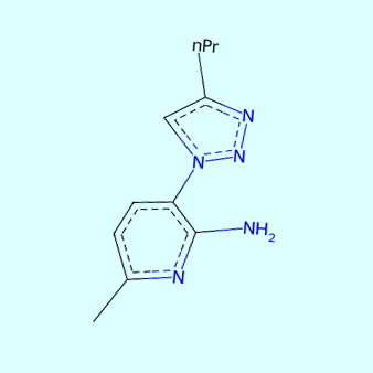 CCCc1cn(-c2ccc(C)nc2N)nn1